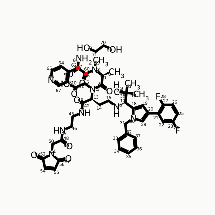 C[C@@H](C(=O)N([C@@H](CC(N)=O)C(=O)O)[C@@H](CCN[C@@H](c1cc(-c2cc(F)ccc2F)cn1Cc1ccccc1)C(C)(C)C)C(=O)NCCNC(=O)CN1C(=O)C=CC1=O)N(C)C(=O)Cc1ccncc1.OCCO